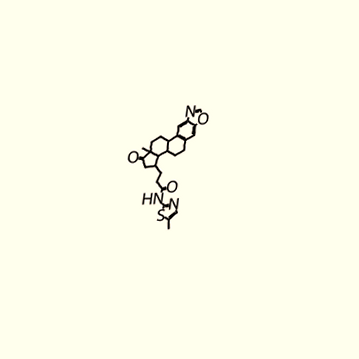 Cc1cnc(NC(=O)CCC2CC(=O)C3(C)CCC4c5cc6ncoc6cc5CCC4C23)s1